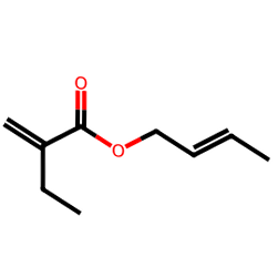 C=C(CC)C(=O)OCC=CC